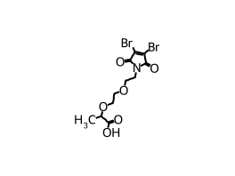 CC(OCCOCCN1C(=O)C(Br)=C(Br)C1=O)C(=O)O